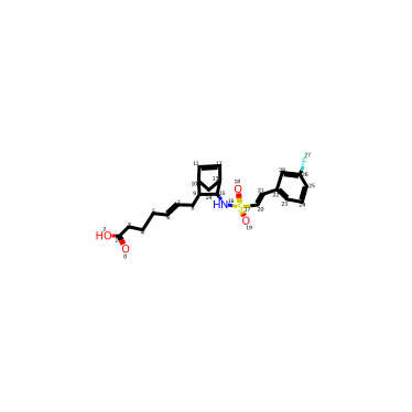 O=C(O)CCCC=CCC1C2C=CC(C2)C1NS(=O)(=O)C=Cc1cccc(F)c1